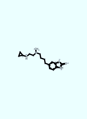 CN(CCCCc1ccc2[nH]c(=O)sc2c1)CCNC1CC1